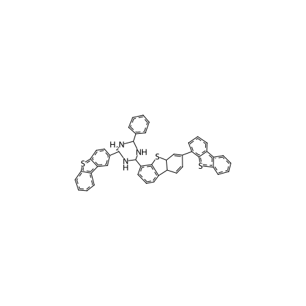 NC(NC(NCc1ccc2sc3ccccc3c2c1)c1cccc2c1SC1C=C(c3cccc4c3sc3ccccc34)C=CC21)c1ccccc1